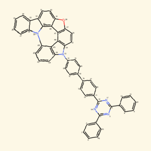 c1ccc(-c2nc(-c3ccccc3)nc(-c3ccc(-c4ccc(-n5c6ccc7oc8ccc9c%10ccccc%10n%10c%11cccc5c%11c6c7c8c9%10)cc4)cc3)n2)cc1